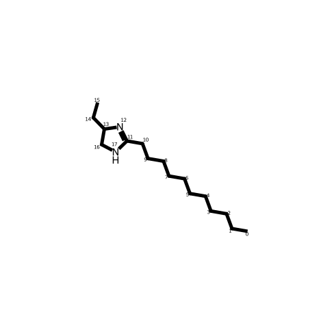 CCCCCCCCCCCC1=NC(CC)CN1